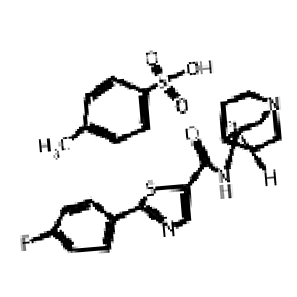 Cc1ccc(S(=O)(=O)O)cc1.O=C(N[C@H]1CN2CCC1CC2)c1cnc(-c2ccc(F)cc2)s1